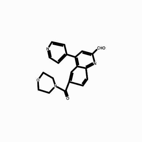 O=Cc1cc(-c2ccncc2)c2cc(C(=O)N3CCOCC3)ccc2n1